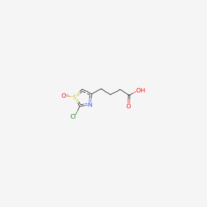 O=C(O)CCCc1c[s+]([O-])c(Cl)n1